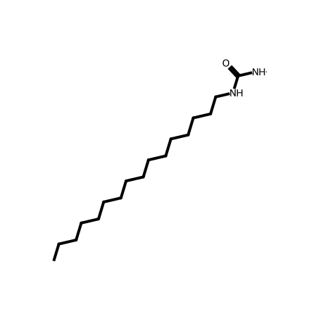 CCCCCCCCCCCCCCCCNC([NH])=O